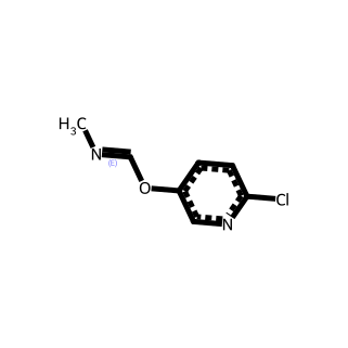 C/N=C/Oc1ccc(Cl)nc1